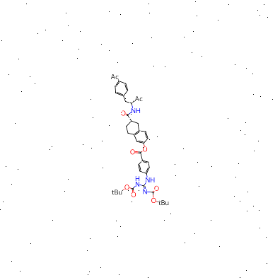 CC(=O)c1ccc(C[C@H](NC(=O)C2CCc3cc(OC(=O)c4ccc(N/C(=N\C(=O)OC(C)(C)C)NC(=O)OC(C)(C)C)cc4)ccc3C2)C(C)=O)cc1